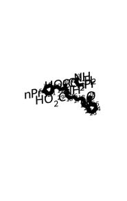 CC(C)C[C@H](N)C(=O)O.CCCc1ccc(CCC(N[C@H](CCCCN2Cc3ccccc3C2=O)C(=O)O)C(=O)O)cc1